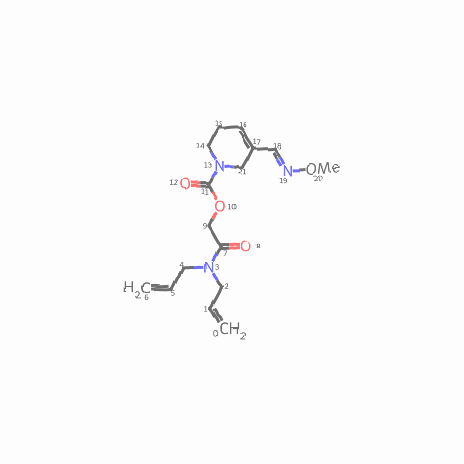 C=CCN(CC=C)C(=O)COC(=O)N1CCC=C(C=NOC)C1